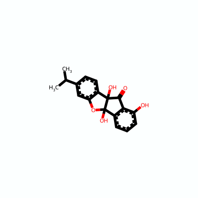 CC(C)c1ccc2c(c1)OC1(O)c3cccc(O)c3C(=O)C21O